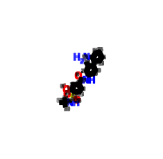 COc1cc(C(=O)Nc2ccc(-c3ccccc3N)c(C)c2)ccc1S(=O)(=O)NC(C)(C)C